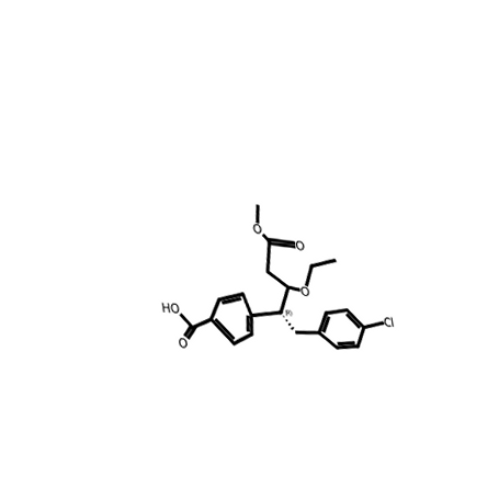 CCOC(CC(=O)OC)[C@H](Cc1ccc(Cl)cc1)c1ccc(C(=O)O)cc1